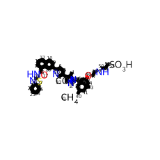 C.Cc1c(-c2ccc(-c3ccc4cccc(C(=O)Nc5nc6ccccc6s5)c4c3)nc2C(=O)O)cnn1CC12CC(C)CC(C)(CC(OCCNCCCS(=O)(=O)O)C1)C2